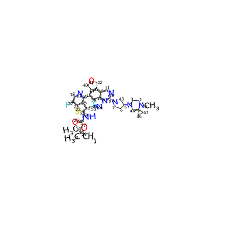 CN1CCN(C2CCN(c3ncc4c5c(c(-c6ncc(F)c7sc(NC(=O)OC(C)(C)C)c(C#N)c67)c(F)c4n3)COC5)C2)CC12CC2